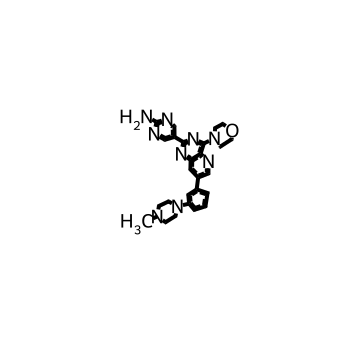 CN1CCN(c2cccc(-c3cnc4c(N5CCOCC5)nc(-c5cnc(N)nc5)nc4c3)c2)CC1